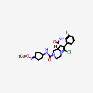 CC(C)(C)ON=C1CCC(NC(=O)N2CCN3C(Cl)=C(c4cccc(F)c4)[C@@H](C(N)=O)[C@H]3C2)CC1